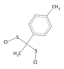 Cc1ccc(C(C)(SCl)SCl)cc1